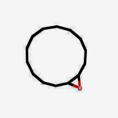 C1CCCCCCC2OC2CCCCC1